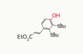 CCOC(=O)C=Cc1ccc(O)c(C(C)(C)C)c1C(C)(C)C